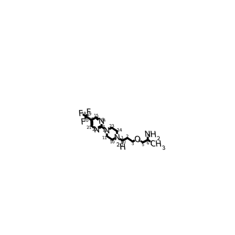 [2H][C@@H](CCOCC(C)N)N1CCN(c2ncc(C(F)(F)F)cn2)CC1